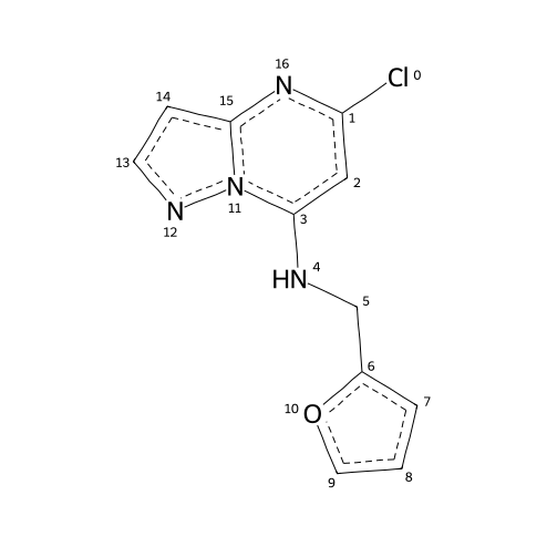 Clc1cc(NCc2ccco2)n2nccc2n1